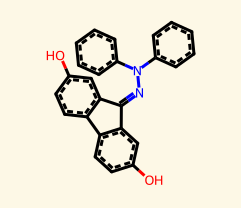 Oc1ccc2c(c1)C(=NN(c1ccccc1)c1ccccc1)c1cc(O)ccc1-2